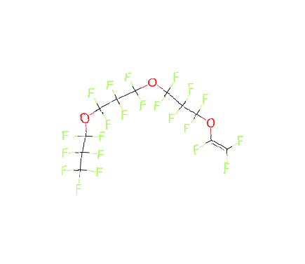 FC(F)=C(F)OC(F)(F)C(F)(F)C(F)(F)OC(F)(F)C(F)(F)C(F)(F)OC(F)(F)C(F)(F)C(F)(F)F